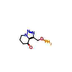 O=C1CCCn2nnc(COP)c21